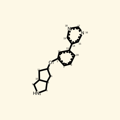 c1cc(OC2CC3CNCC3C2)cc(-c2cncnc2)c1